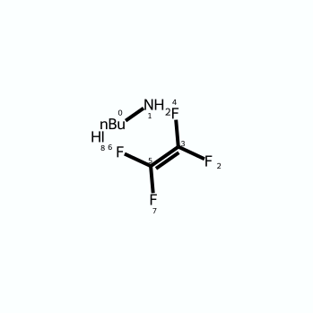 CCCCN.FC(F)=C(F)F.I